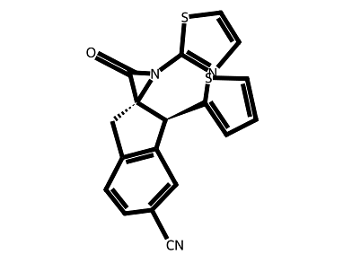 N#Cc1ccc2c(c1)[C@H](c1cccs1)[C@@]1(C2)C(=O)N1c1nccs1